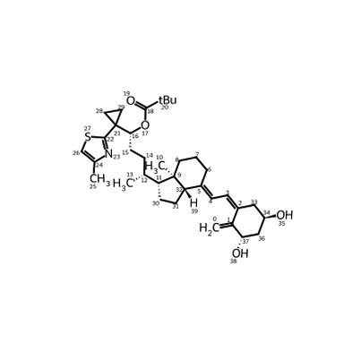 C=C1/C(=C\C=C2/CCC[C@]3(C)[C@@H]([C@H](C)CC[C@@H](OC(=O)C(C)(C)C)C4(c5nc(C)cs5)CC4)CC[C@@H]23)C[C@@H](O)C[C@@H]1O